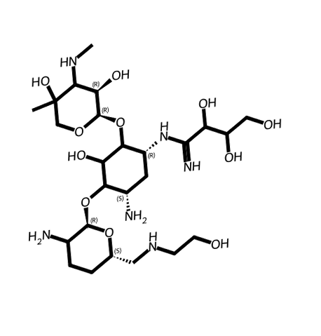 CNC1[C@@H](O)[C@@H](OC2C(O)C(O[C@H]3O[C@H](CNCCO)CCC3N)[C@@H](N)C[C@H]2NC(=N)C(O)C(O)CO)OCC1(C)O